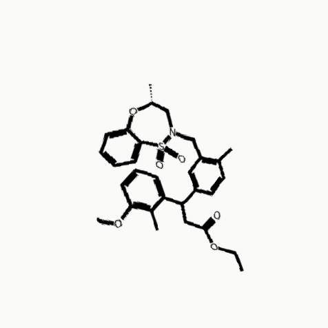 CCOC(=O)CC(c1ccc(C)c(CN2C[C@@H](C)Oc3ccccc3S2(=O)=O)c1)c1cccc(OC)c1C